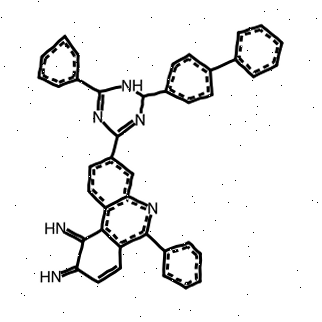 N=C1C=Cc2c(-c3ccccc3)nc3cc(C4=NC(c5ccc(-c6ccccc6)cc5)NC(c5ccccc5)=N4)ccc3c2C1=N